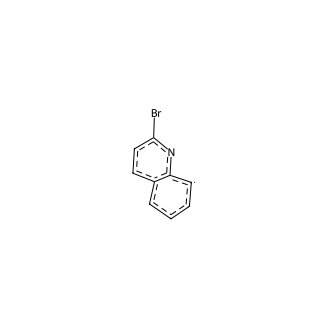 Brc1ccc2ccc[c]c2n1